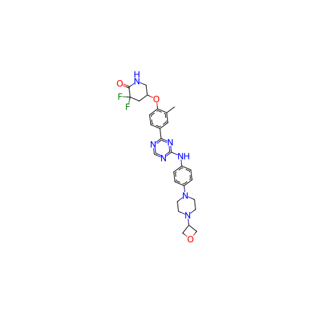 Cc1cc(-c2ncnc(Nc3ccc(N4CCN(C5COC5)CC4)cc3)n2)ccc1OC1CNC(=O)C(F)(F)C1